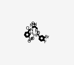 O=C(Nc1nonc1/C=N/ONc1ccc(F)c(Br)c1)c1cccc([N+](=O)[O-])c1